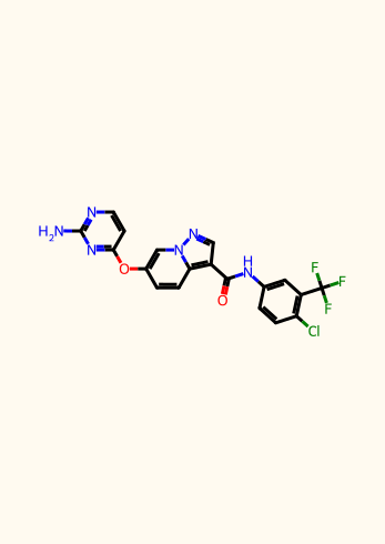 Nc1nccc(Oc2ccc3c(C(=O)Nc4ccc(Cl)c(C(F)(F)F)c4)cnn3c2)n1